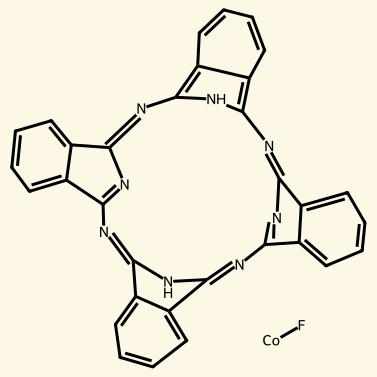 [F][Co].c1ccc2c(c1)-c1nc-2nc2[nH]c(nc3nc(nc4[nH]c(n1)c1ccccc41)-c1ccccc1-3)c1ccccc21